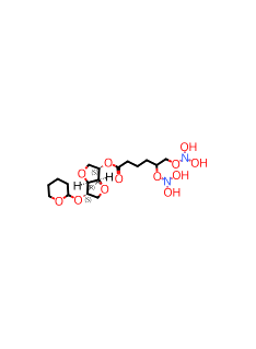 O=C(CCCC(CON(O)O)ON(O)O)O[C@H]1CO[C@H]2[C@@H]1OC[C@@H]2OC1CCCCO1